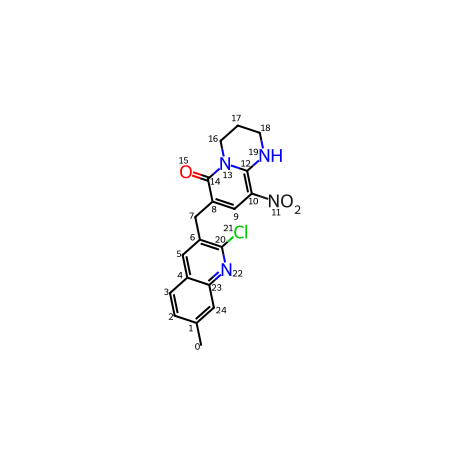 Cc1ccc2cc(Cc3cc([N+](=O)[O-])c4n(c3=O)CCCN4)c(Cl)nc2c1